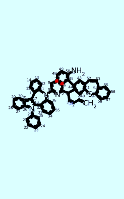 C=C/C=C\C(c1cccc(N2c3ccccc3-c3c(n(-c4ccccc4)c4ccccc34)-c3ccccc32)n1)c1cc2c(cc1-c1ccccc1N)C=Cc1ccccc1S2